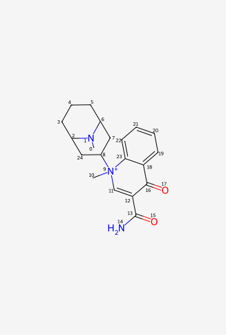 CN1C2CCCC1CC([N+]1(C)C=C(C(N)=O)C(=O)c3ccccc31)C2